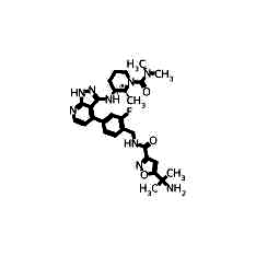 C[C@@H]1[C@H](Nc2n[nH]c3nccc(-c4ccc(CNC(=O)c5cc(C(C)(C)N)on5)c(F)c4)c23)CCCN1C(=O)N(C)C